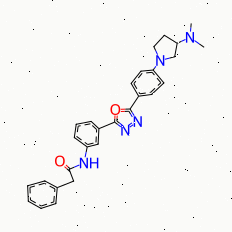 CN(C)C1CCN(c2ccc(-c3nnc(-c4cccc(NC(=O)Cc5ccccc5)c4)o3)cc2)C1